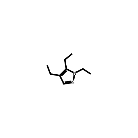 CCc1[c]nn(CC)c1CC